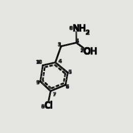 NC(O)Cc1ccc(Cl)cc1